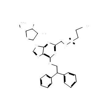 COCCS(=O)(=O)NCc1nc(NCC(c2ccccc2)c2ccccc2)c2ncn([C@@H]3O[C@H](COC)[C@@H](O)[C@@H]3O)c2n1